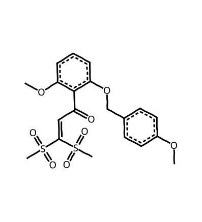 COc1ccc(COc2cccc(OC)c2C(=O)C=C(S(C)(=O)=O)S(C)(=O)=O)cc1